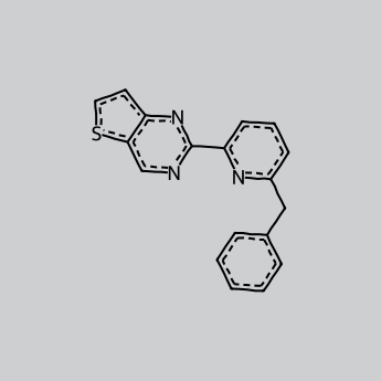 c1ccc(Cc2cccc(-c3ncc4sccc4n3)n2)cc1